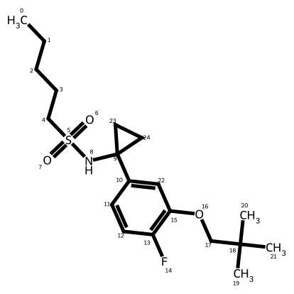 CCCCCS(=O)(=O)NC1(c2ccc(F)c(OCC(C)(C)C)c2)CC1